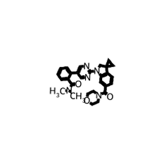 CN(C)C(=O)c1ccccc1-c1cnc(N2CC3(CC3)c3ccc(C(=O)N4CCOCC4)cc32)nc1